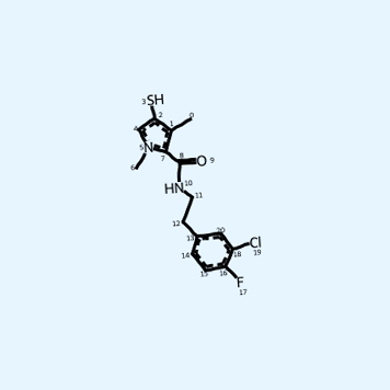 Cc1c(S)cn(C)c1C(=O)NCCc1ccc(F)c(Cl)c1